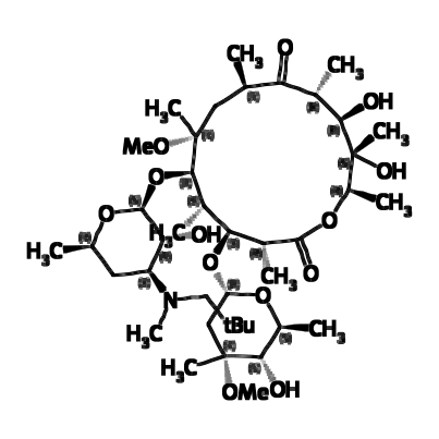 CO[C@]1(C)C[C@@H](C)C(=O)[C@H](C)[C@@H](O)[C@](C)(O)[C@@H](C)OC(=O)[C@H](C)[C@@H](O[C@H]2C[C@@](C)(OC)[C@@H](O)[C@H](C)O2)[C@H](C)[C@H]1O[C@@H]1O[C@H](C)C[C@H](N(C)CC(C)(C)C)[C@H]1O